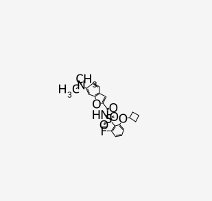 CN(C)c1ccc2cc(C(=O)NS(=O)(=O)c3c(F)cccc3OC3CCC3)oc2c1